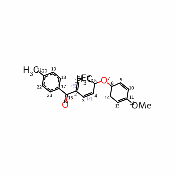 CC/C=C(\C=C/C(C)OC1C=CC(OC)=CC1)C(=O)c1ccc(C)cc1